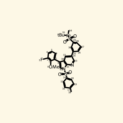 COc1c(F)cccc1-c1cn(S(=O)(=O)c2ccc(C)cc2)c2ncc(-c3cccc(S(=O)(=O)N(C)C(C)(C)C)c3)cc12